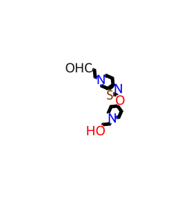 O=CCCN1CCc2nc(OC3CCN(CCO)CC3)sc2C1